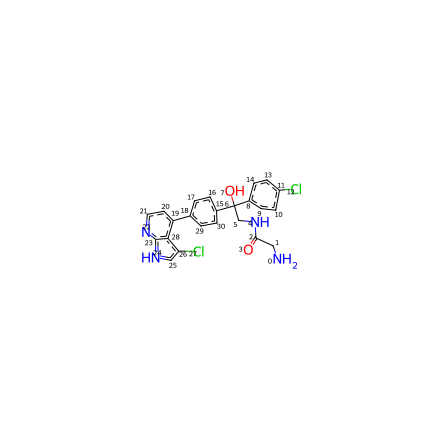 NCC(=O)NCC(O)(c1ccc(Cl)cc1)c1ccc(-c2ccnc3[nH]cc(Cl)c23)cc1